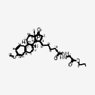 CCOC(=O)CNNC(=O)CCCCC1CC(=O)[C@@]2(C)CC[C@@H]3c4ccc(OC)cc4CC[C@H]3[C@H]12